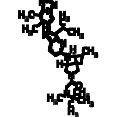 Cc1c(-c2[nH]c3ccc(N4[C@H]5CN(C(=O)CN(C)C(C)(C)C)C[C@@]56C[C@H](C)[C@H]46)nc3c2C(C)C)cn2ncnc2c1C